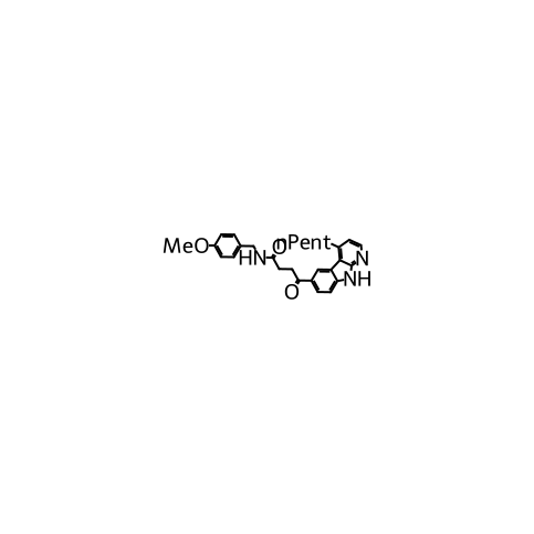 CCCCCc1ccnc2[nH]c3ccc(C(=O)CCC(=O)NCc4ccc(OC)cc4)cc3c12